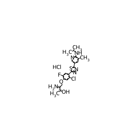 Cc1cc(-c2nnc(-c3cc(F)c(OC[C@H](N)[C@H](C)O)cc3Cl)s2)cnc1NC(C)C.Cl